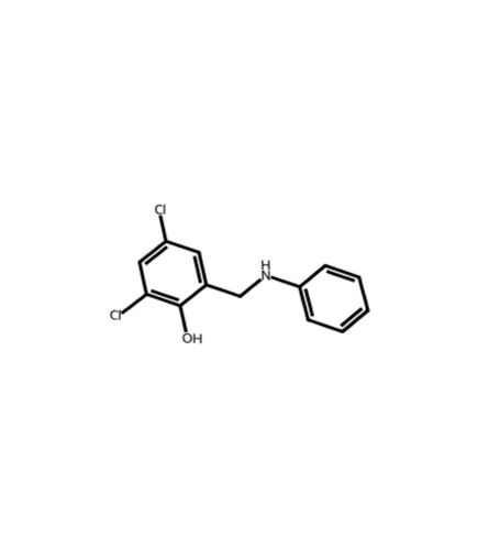 Oc1c(Cl)cc(Cl)cc1CNc1ccccc1